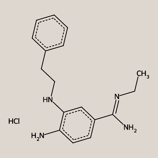 CCN=C(N)c1ccc(N)c(NCCc2ccccc2)c1.Cl